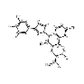 C[C@@H](O)C(CO)OC([C@@H](O)Cn1cc(-c2cc(F)c(F)c(F)c2)nn1)[S+]([O-])c1cncc(Cl)c1